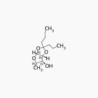 CCCCC1(CCC)O[C@H]2O[C@H](C)[C@H](O)[C@H]2O1